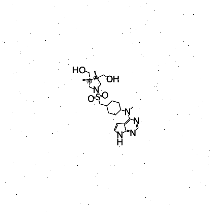 CN(c1ncnc2[nH]ccc12)C1CCC(CS(=O)(=O)N2C[C@](C)(CO)[C@](C)(CO)C2)CC1